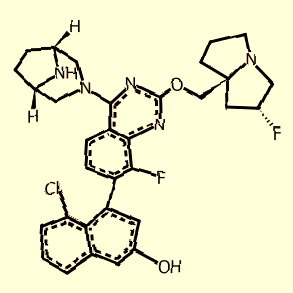 Oc1cc(-c2ccc3c(N4C[C@H]5CC[C@@H](C4)N5)nc(OC[C@@]45CCCN4C[C@H](F)C5)nc3c2F)c2c(Cl)cccc2c1